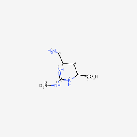 N=C(N[C@@H](CCCN)C(=O)O)N[N+](=O)[O-]